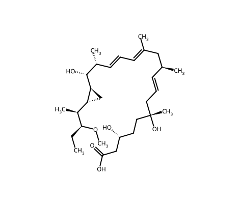 CC[C@H](OC)[C@@H](C)[C@H]1C[C@@H]1[C@H](O)[C@H](C)/C=C/C=C(\C)C[C@@H](C)/C=C/C[C@](C)(O)CC[C@@H](O)CC(=O)O